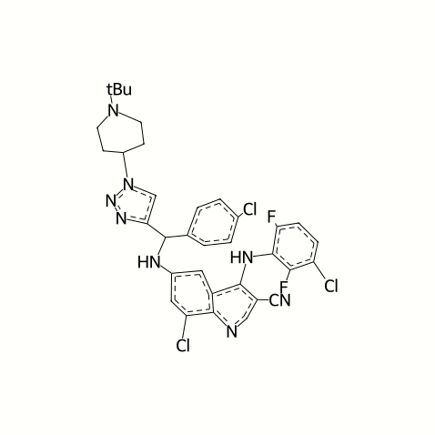 CC(C)(C)N1CCC(n2cc(C(Nc3cc(Cl)c4ncc(C#N)c(Nc5c(F)ccc(Cl)c5F)c4c3)c3ccc(Cl)cc3)nn2)CC1